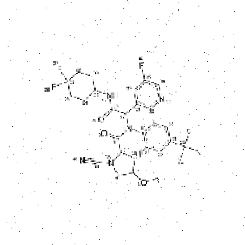 COC1CC(C(=O)N(c2ccc(C(C)(C)C)cc2F)C(C(=O)NC2CCC(F)(F)CC2)c2cncc(F)c2)N(C#N)C1